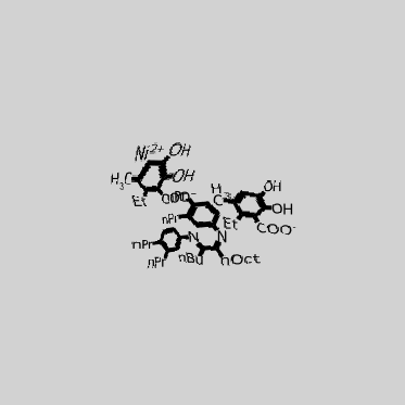 CCCCCCCCC(=Nc1ccc(CCC)c(CCC)c1)C(CCCC)=Nc1ccc(CCC)c(CCC)c1.CCc1c(C)cc(O)c(O)c1C(=O)[O-].CCc1c(C)cc(O)c(O)c1C(=O)[O-].[Ni+2]